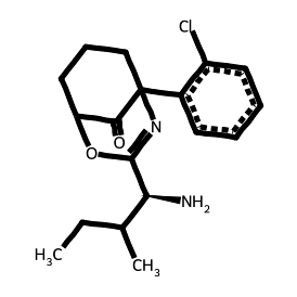 CCC(C)[C@H](N)C1=NC2(c3ccccc3Cl)CCCC(O1)C2=O